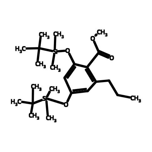 CCCc1cc(O[Si](C)(C)C(C)(C)C)cc(O[Si](C)(C)C(C)(C)C)c1C(=O)OC